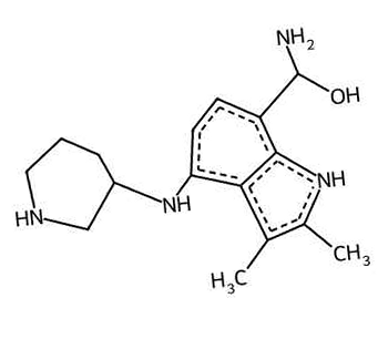 Cc1[nH]c2c(C(N)O)ccc(NC3CCCNC3)c2c1C